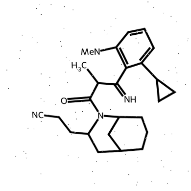 CNc1cccc(C2CC2)c1C(=N)C(C)C(=O)N1C(CCC#N)CC2CCCC1C2